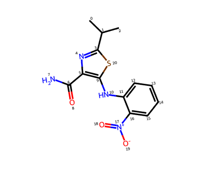 CC(C)c1nc(C(N)=O)c(Nc2ccccc2[N+](=O)[O-])s1